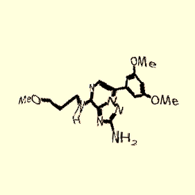 COCCCNc1ncc(-c2cc(OC)cc(OC)c2)n2nc(N)nc12